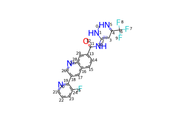 CN/C(=C\C(=N)C(F)(F)F)NC(=O)c1ccc2cc(-c3ncccc3F)cnc2c1